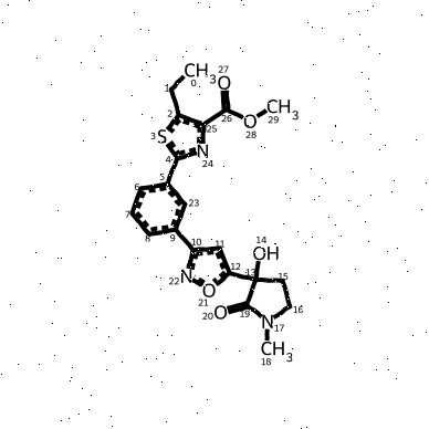 CCc1sc(-c2cccc(-c3cc(C4(O)CCN(C)C4=O)on3)c2)nc1C(=O)OC